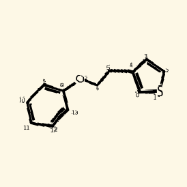 [c]1sccc1CCOc1ccccc1